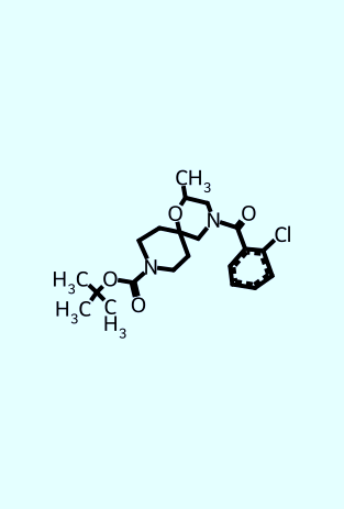 CC1CN(C(=O)c2ccccc2Cl)CC2(CCN(C(=O)OC(C)(C)C)CC2)O1